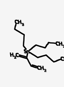 C=C[C](=C)[Sn]([CH2]CCC)([CH2]CCC)[CH2]CCC